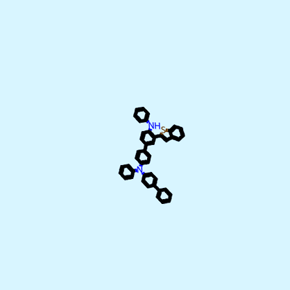 c1ccc(Nc2ccc(-c3ccc(N(c4ccccc4)c4ccc(-c5ccccc5)cc4)cc3)cc2-c2cc3ccccc3s2)cc1